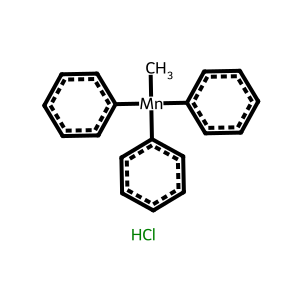 Cl.[CH3][Mn]([c]1ccccc1)([c]1ccccc1)[c]1ccccc1